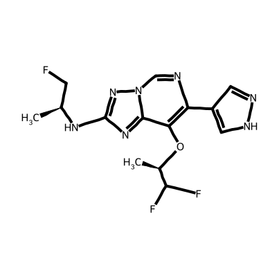 C[C@@H](CF)Nc1nc2c(O[C@H](C)C(F)F)c(-c3cn[nH]c3)ncn2n1